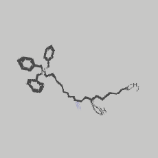 CCCCCC[C@@H](O)C/C=C\CCCCCCCC[N+](Cc1ccccc1)(Cc1ccccc1)Cc1ccccc1